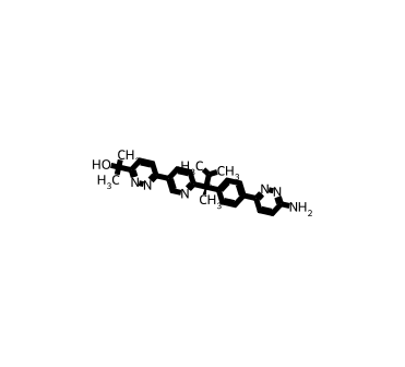 CC(C)[C@](C)(c1ccc(-c2ccc(N)nn2)cc1)c1ccc(-c2ccc(C(C)(C)O)nn2)cn1